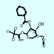 [N-]=[N+]=N[C@H]1COC(OC(=N)C(Cl)(Cl)Cl)[C@@H](OC(=O)c2ccccc2)[C@H]1O